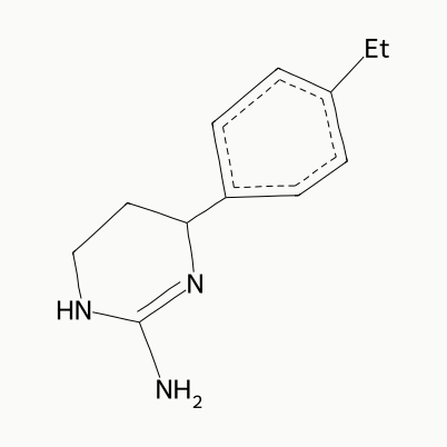 CCc1ccc(C2CCNC(N)=N2)cc1